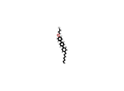 CCCCCCCC1CCC(c2ccc(-c3ccc(OCCCC)cc3)cc2)CC1